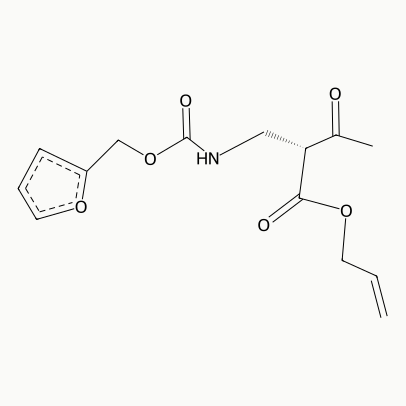 C=CCOC(=O)[C@H](CNC(=O)OCc1ccco1)C(C)=O